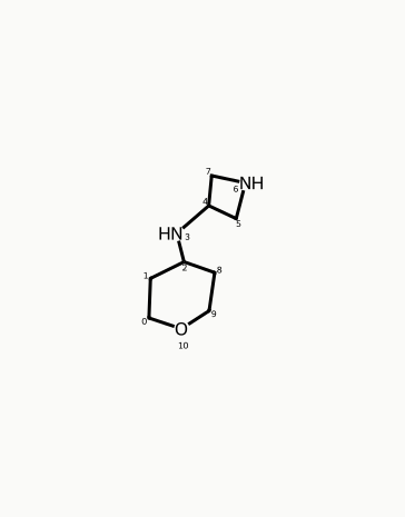 C1CC(NC2CNC2)CCO1